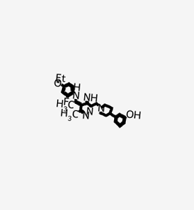 CCOc1ccc(N/C(C)=C2\C(=N)C(CN3CCC(c4cccc(O)c4)CC3)=NN=C2C)c(F)c1